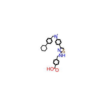 CN(Cc1ccc(C2CCCCC2)cc1)c1ccc(-c2csc(NCc3ccc(C(=O)O)cc3)n2)cc1